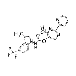 Cc1nc(-c2ccccn2)ncc1OC(=O)Nn1cc(C)c2cc(C(F)(F)F)ccc21